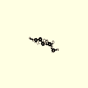 Cc1c(OCc2cc(OCc3cncc(C#N)c3)c(C=O)cc2Cl)cccc1-c1cccc(-c2ccc(OCC=O)cc2)c1C